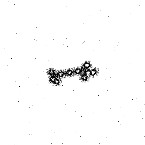 c1ccc(C2c3ccccc3N(c3ccc(-c4ccc(-c5ccc(-n6c7ccccc7c7ccc8ccccc8c76)cc5)cc4)cc3)C2c2ccccc2)cc1